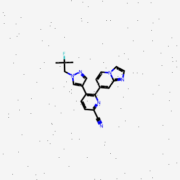 CC(C)(F)Cn1cc(-c2ccc(C#N)nc2-c2ccn3ccnc3c2)cn1